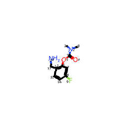 CN(C)C(=O)Oc1cc(F)ccc1CN